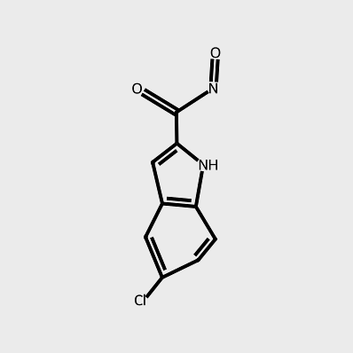 O=NC(=O)c1cc2cc(Cl)ccc2[nH]1